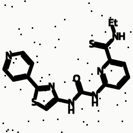 CCNC(=S)c1cccc(NC(=O)Nc2csc(-c3ccncc3)n2)n1